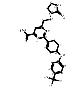 NC(=O)c1cc(CN[C@@H]2CCNC2=O)nc(C2=CCC(Oc3ccc(C(F)(F)F)cc3)CC2)n1